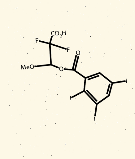 COC(OC(=O)c1cc(I)cc(I)c1I)C(F)(F)C(=O)O